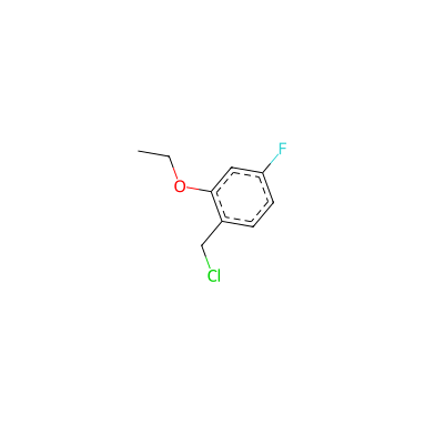 CCOc1cc(F)ccc1CCl